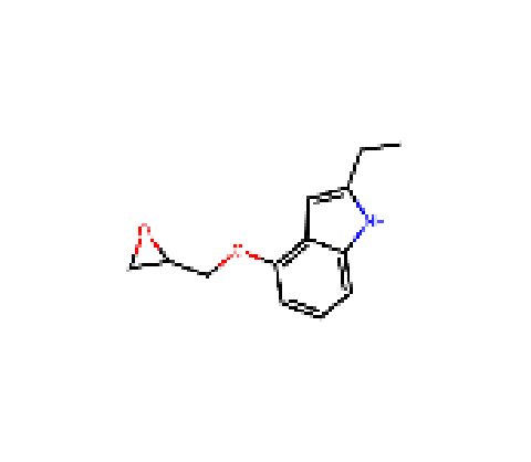 CCc1cc2c(OCC3CO3)cccc2[nH]1